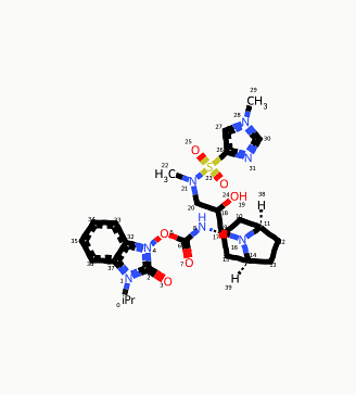 CC(C)n1c(=O)n(OC(=O)N[C@@H]2C[C@H]3CC[C@@H](C2)N3CC(O)CN(C)S(=O)(=O)c2cn(C)cn2)c2ccccc21